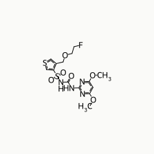 COc1cc(OC)nc(NC(=O)NS(=O)(=O)c2cscc2COCCF)n1